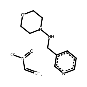 C=C[N+](=O)[O-].c1cncc(CNN2CCOCC2)c1